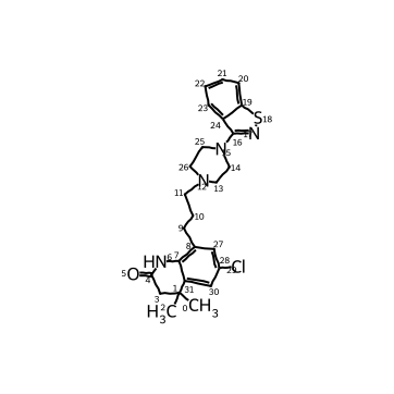 CC1(C)CC(=O)Nc2c(CCCN3CCN(c4nsc5ccccc45)CC3)cc(Cl)cc21